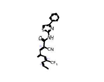 C=C(/C=C(\C#N)C(=O)Nc1nc(-c2ccccc2)cs1)/C=C(\C=C/C)C(F)(F)F